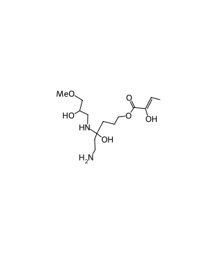 CC=C(O)C(=O)OCCCC(O)(CCN)NCC(O)COC